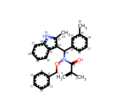 C=C(C)C(=O)N(OCc1ccccc1)C(c1cccc(C)c1)c1c(C)[nH]c2ccccc12